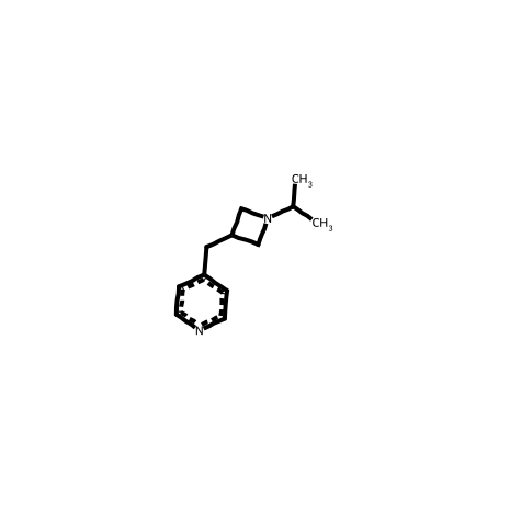 CC(C)N1CC(Cc2ccncc2)C1